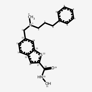 CN(CCCc1ccccc1)Cc1ccc2cc(C(=O)NO)sc2c1